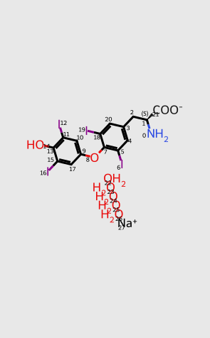 N[C@@H](Cc1cc(I)c(Oc2cc(I)c(O)c(I)c2)c(I)c1)C(=O)[O-].O.O.O.O.O.[Na+]